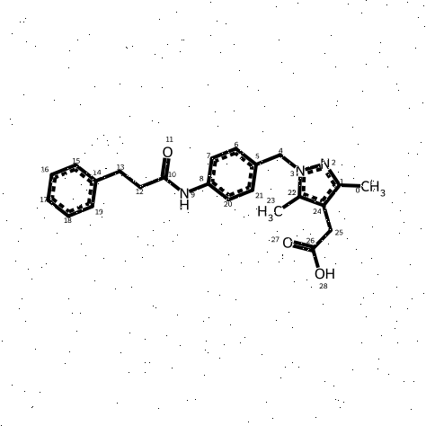 Cc1nn(Cc2ccc(NC(=O)CCc3ccccc3)cc2)c(C)c1CC(=O)O